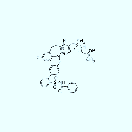 C[C@@H](O)CNC(C)(C)CC(=O)N[C@@H]1CCc2cc(F)ccc2N(Cc2ccc(-c3ccccc3S(=O)(=O)NC(=O)c3ccccc3)cc2)C1=O